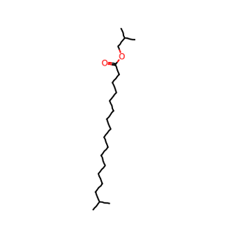 CC(C)CCCCCCCCCCCCCCC(=O)OCC(C)C